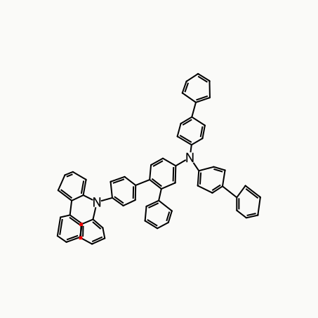 c1ccc(-c2ccc(N(c3ccc(-c4ccccc4)cc3)c3ccc(-c4ccc(N(c5ccccc5)c5ccccc5-c5ccccc5)cc4)c(-c4ccccc4)c3)cc2)cc1